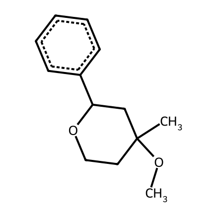 COC1(C)CCOC(c2ccccc2)C1